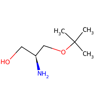 CC(C)(C)OC[C@@H](N)CO